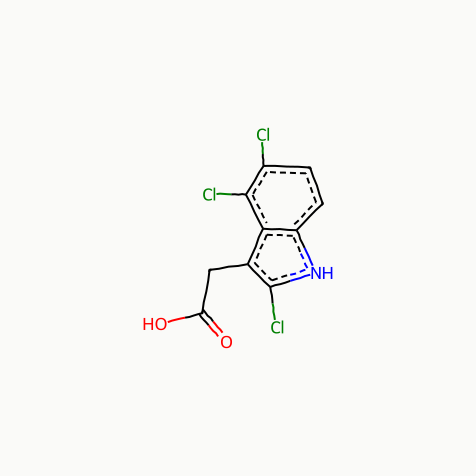 O=C(O)Cc1c(Cl)[nH]c2ccc(Cl)c(Cl)c12